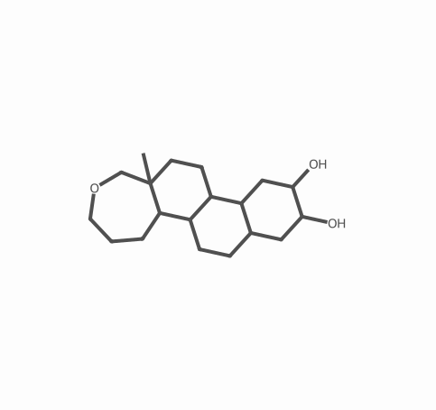 CC12CCC3C4CC(O)C(O)CC4CCC3C1CCCOC2